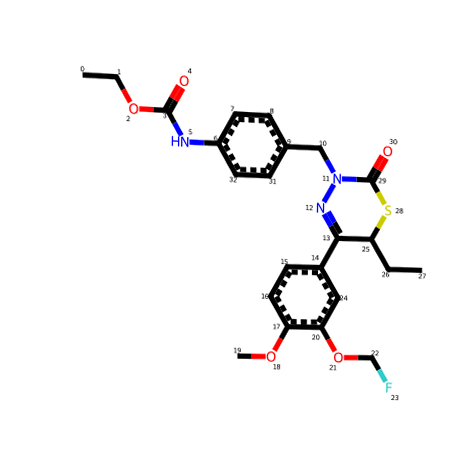 CCOC(=O)Nc1ccc(CN2N=C(c3ccc(OC)c(OCF)c3)C(CC)SC2=O)cc1